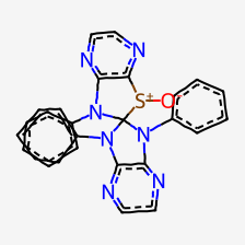 [O-][S+]1c2nccnc2N(c2ccccc2)C12N(C1=CC=CCC1)c1nccnc1N2c1ccccc1